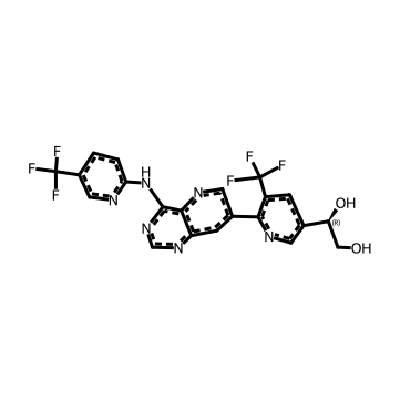 OC[C@H](O)c1cnc(-c2cnc3c(Nc4ccc(C(F)(F)F)cn4)ncnc3c2)c(C(F)(F)F)c1